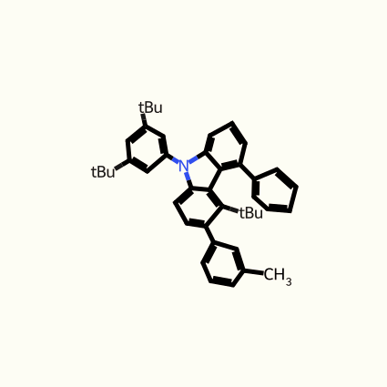 Cc1cccc(-c2ccc3c(c2C(C)(C)C)c2c(-c4ccccc4)cccc2n3-c2cc(C(C)(C)C)cc(C(C)(C)C)c2)c1